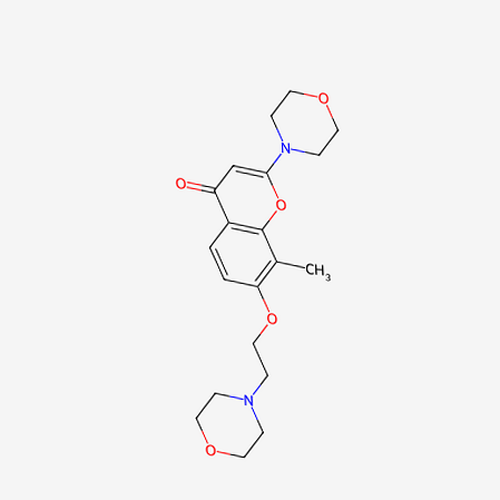 Cc1c(OCCN2CCOCC2)ccc2c(=O)cc(N3CCOCC3)oc12